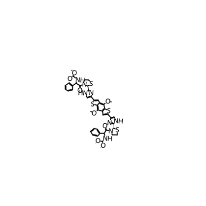 COC(=O)NC(C(=O)N1CCS[C@H]1c1nc(-c2cc3c(OC)c4sc(-c5c[nH]c([C@@H]6SCCN6C(=O)C(NC(OC)OC)c6ccccc6)n5)cc4c(OC)c3s2)c[nH]1)c1ccccc1